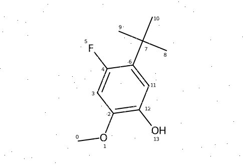 COc1cc(F)c(C(C)(C)C)cc1O